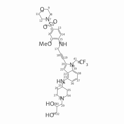 COc1cc(S(=O)(=O)N2CCOCC2)ccc1NCC#Cc1cc2c(NC3CCN(CC(O)CO)CC3)cccc2n1CC(F)(F)F